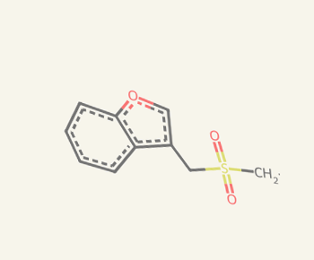 [CH2]S(=O)(=O)Cc1coc2ccccc12